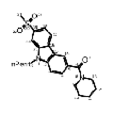 CCCCCn1c2ccc(C(=O)N3CCCCC3)cc2c2ccc(S(C)(=O)=O)cc21